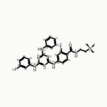 C[N+](C)(C)CCNC(=O)c1ccc(Nc2nc(Nc3ccccc3)nc(Nc3cccc(F)c3)n2)cc1F